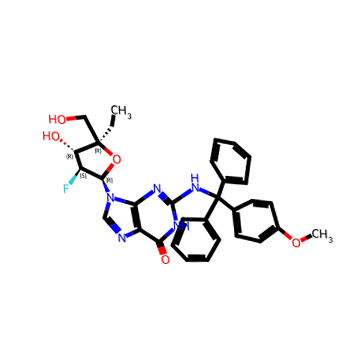 CC[C@]1(CO)O[C@@H](n2cnc3c(=O)[nH]c(NC(c4ccccc4)(c4ccccc4)c4ccc(OC)cc4)nc32)[C@@H](F)[C@@H]1O